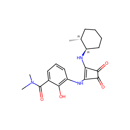 C[C@@H]1CCCC[C@H]1Nc1c(Nc2cccc(C(=O)N(C)C)c2O)c(=O)c1=O